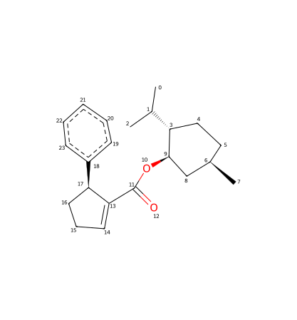 CC(C)[C@@H]1CC[C@@H](C)C[C@H]1OC(=O)C1=CCC[C@H]1c1ccccc1